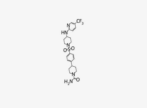 NC(=O)N1CCC(c2ccc(S(=O)(=O)N3CCC(Nc4ccc(C(F)(F)F)cn4)CC3)cc2)CC1